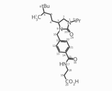 CC(C)N1CC(CCC(C)C(C)(C)C)N(Cc2ccc(C(=O)NCCC(=O)O)cc2)C1=O